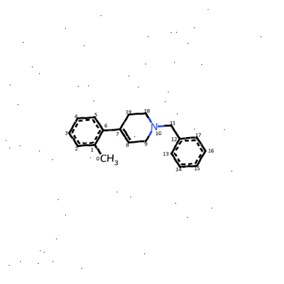 Cc1ccccc1C1=CCN(Cc2ccccc2)CC1